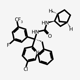 O=C(N[C@@H]1C[C@@H]2CC[C@H]1C2)N[C@](Cc1ccccc1)(c1cc(F)cc(C(F)(F)F)c1)c1ccc(Cl)cn1